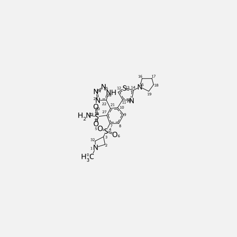 CN1CC(S(=O)(=O)c2ccc(-c3csc(N4CCCC4)n3)c(-c3nnn[nH]3)c2S(N)(=O)=O)C1